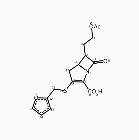 CC(=O)OCCC1C(=O)N2C(C(=O)O)=C(SCc3ccco3)CC12